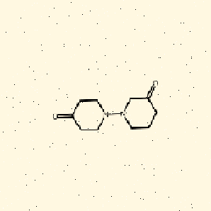 O=C1CCN(N2CCCC(=O)C2)CC1